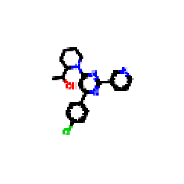 CC(O)C1CCCCN1c1cc(-c2ccc(Cl)cc2)nc(-c2cccnc2)n1